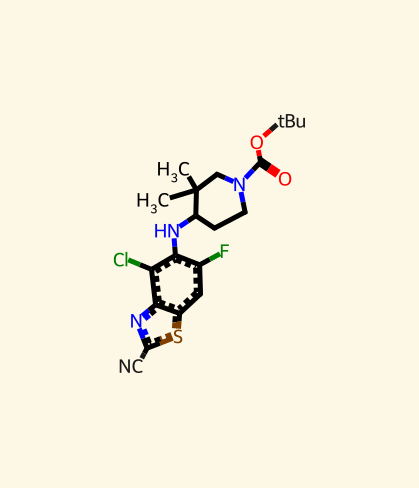 CC(C)(C)OC(=O)N1CCC(Nc2c(F)cc3sc(C#N)nc3c2Cl)C(C)(C)C1